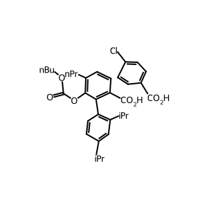 CCCCOC(=O)Oc1c(CCC)ccc(C(=O)O)c1-c1ccc(C(C)C)cc1C(C)C.O=C(O)c1ccc(Cl)cc1